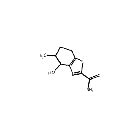 CC1CCc2sc(C(N)=O)nc2C1O